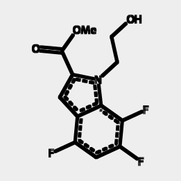 COC(=O)c1cc2c(F)cc(F)c(F)c2n1CCO